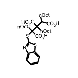 CCCCCCCCC(C(=O)O)C(CCCCCCCC)(C(=O)O)C(CCCCCCCC)(Sc1nc2ccccc2s1)C(=O)O